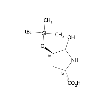 CC(C)(C)[Si](C)(C)O[C@@H]1C[C@@H](C(=O)O)NC1O